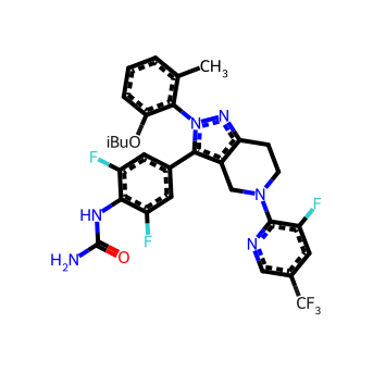 Cc1cccc(OCC(C)C)c1-n1nc2c(c1-c1cc(F)c(NC(N)=O)c(F)c1)CN(c1ncc(C(F)(F)F)cc1F)CC2